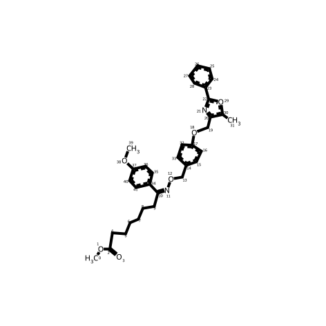 COC(=O)CCCCCCC(=NOCc1ccc(OCc2nc(-c3ccccc3)oc2C)cc1)c1ccc(OC)cc1